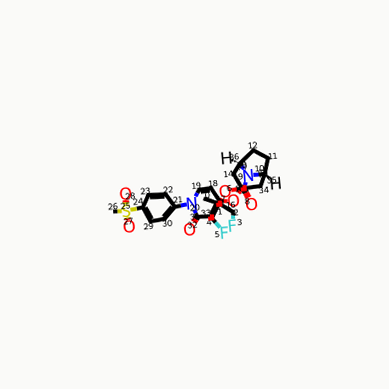 CC(CF)(CF)OC(=O)N1[C@@H]2CC[C@@H]1CC(Oc1ccn(-c3ccc(S(C)(=O)=O)cc3)c(=O)c1)C2